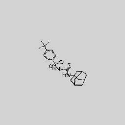 CC(C)(C)c1ccc(S(=O)(=O)NC(=S)NC23CC4CC(CC(C4)C2)C3)cc1